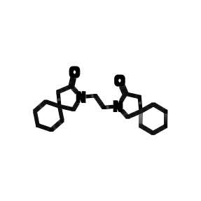 O=C1CC2(CCCCC2)CN1CCN1CC2(CCCCC2)CC1=O